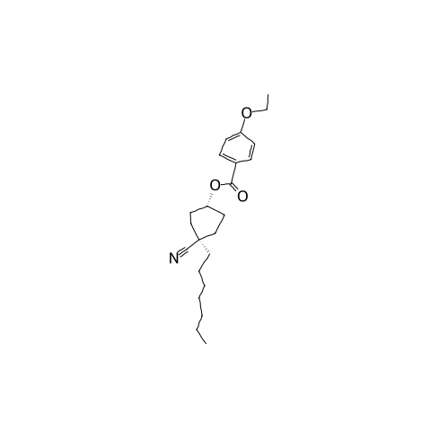 CCCCCCC[C@]1(C#N)CC[C@H](OC(=O)c2ccc(OCC)cc2)CC1